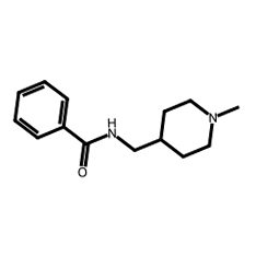 CN1CCC(CNC(=O)c2ccccc2)CC1